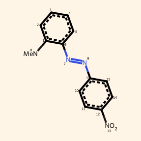 CNc1ccccc1N=Nc1ccc([N+](=O)[O-])cc1